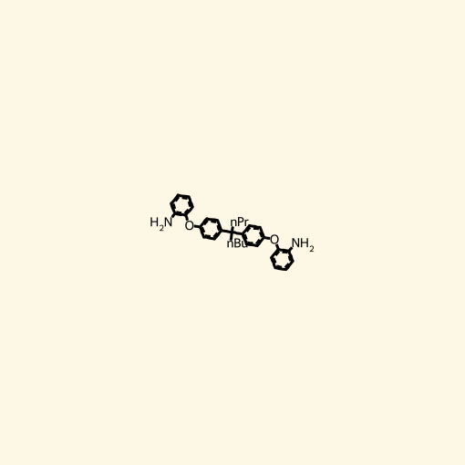 CCCCC(CCC)(c1ccc(Oc2ccccc2N)cc1)c1ccc(Oc2ccccc2N)cc1